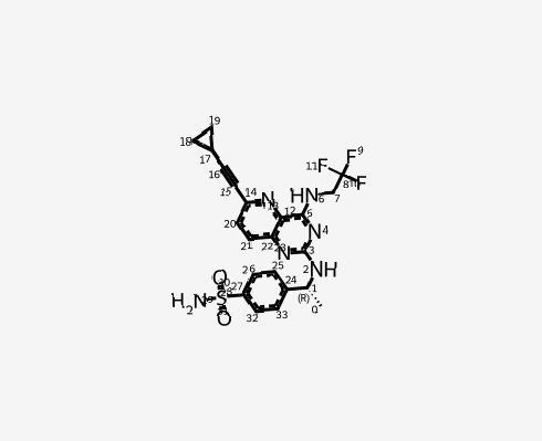 C[C@@H](Nc1nc(NCC(F)(F)F)c2nc(C#CC3CC3)ccc2n1)c1ccc(S(N)(=O)=O)cc1